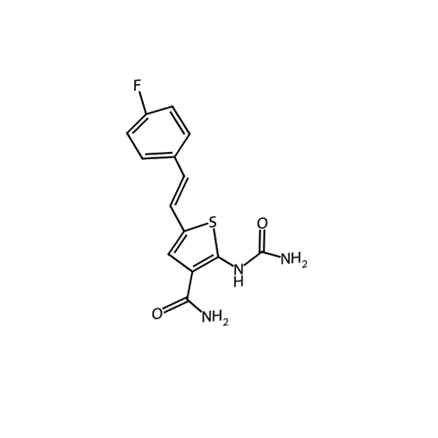 NC(=O)Nc1sc(C=Cc2ccc(F)cc2)cc1C(N)=O